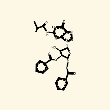 CC(C)C(=O)Nc1nc2c(nnn2[C@@H]2S[C@H](COC(=O)c3ccccc3)[C@@H](OC(=O)c3ccccc3)[C@H]2O)c(=O)[nH]1